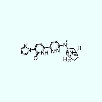 CN(c1ccc(-c2ccc(-n3cccn3)c(=O)[nH]2)nn1)C1C[C@H]2CC[C@@H](C1)N2